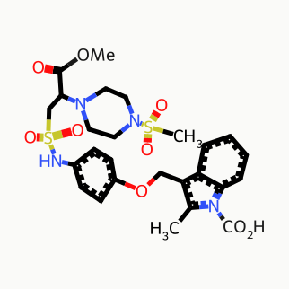 COC(=O)C(CS(=O)(=O)Nc1ccc(OCc2c(C)n(C(=O)O)c3ccccc23)cc1)N1CCN(S(C)(=O)=O)CC1